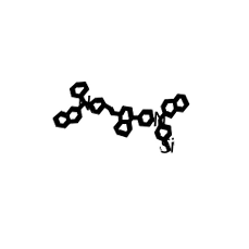 C[Si](C)(C)c1ccc(N(c2ccc(-c3ccc(/C=C/c4ccc(N(c5ccccc5)c5ccc6ccccc6c5)cc4)c4ccccc34)cc2)c2ccc3ccccc3c2)cc1